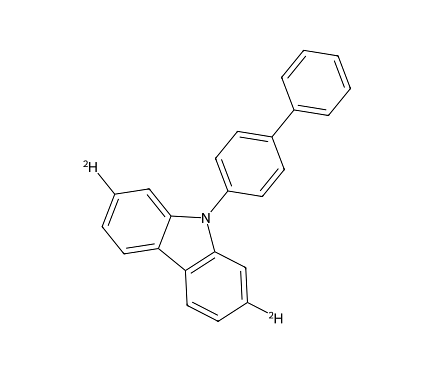 [2H]c1ccc2c3ccc([2H])cc3n(-c3ccc(-c4ccccc4)cc3)c2c1